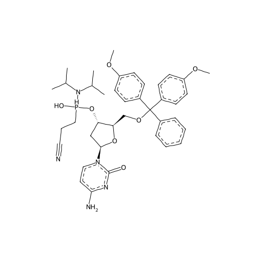 COc1ccc(C(OC[C@H]2O[C@@H](n3ccc(N)nc3=O)C[C@@H]2O[PH](O)(CCC#N)N(C(C)C)C(C)C)(c2ccccc2)c2ccc(OC)cc2)cc1